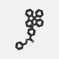 O=C(OCc1ccccc1)c1ccc(Nc2ccccc2C2(c3ccccc3)c3ccccc3-c3ccccc32)cc1